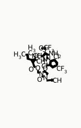 C#CCN1CC(=O)N(COC(=O)C2C(C=C(C)C)C2(C)C)C1=O.N#Cc1nn(-c2c(Cl)cc(C(F)(F)F)cc2Cl)c(N)c1[S+]([O-])C(F)(F)F